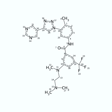 Cc1ccc(NC(=O)c2cc(N(C)CCN(C)C)cc(C(F)(F)F)c2)cc1-n1cc(-c2cncnc2)nn1